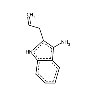 C=CCc1[nH]c2ccccc2c1N